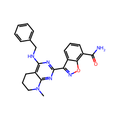 CN1CCCc2c(NCc3ccccc3)nc(-c3noc4c(C(N)=O)cccc34)nc21